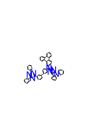 c1ccc(-c2nc(-c3ccccc3)nc(-c3cccc(-c4ccc5c(c4)n4c6c7ccccc7n(-c7ccccc7)c6nc4n5-c4ccc5c6ccccc6c6ccccc6c5c4)c3)n2)cc1